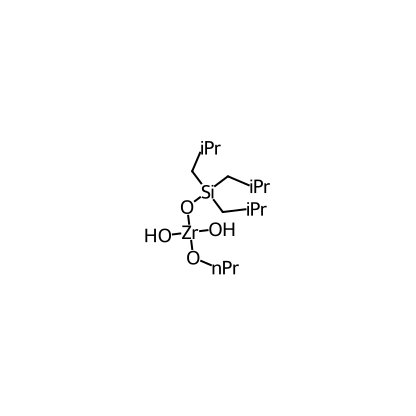 CCC[O][Zr]([OH])([OH])[O][Si](CC(C)C)(CC(C)C)CC(C)C